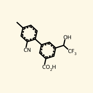 Cc1ccc(-c2cc(C(=O)O)cc(C(O)C(F)(F)F)c2)c(C#N)c1